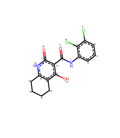 O=C(Nc1cccc(Cl)c1Cl)c1c(O)c2c([nH]c1=O)CCCC2